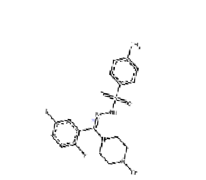 CCN1CCN(/C(=N\NS(=O)(=O)c2ccc(C)cc2)c2cc(I)ccc2F)CC1